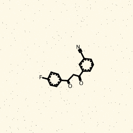 N#Cc1cccc(C(=O)CC(=O)c2ccc(F)cc2)c1